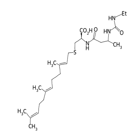 CCNC(=O)NC(C)CC(=O)N[C@@H](CSC/C=C(\C)CC/C=C(\C)CCC=C(C)C)C(=O)O